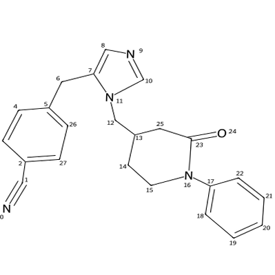 N#Cc1ccc(Cc2cncn2CC2CCN(c3ccccc3)C(=O)C2)cc1